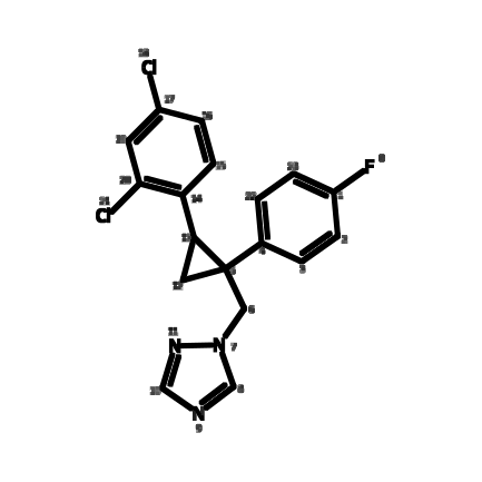 Fc1ccc(C2(Cn3cncn3)CC2c2ccc(Cl)cc2Cl)cc1